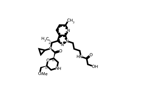 COC[C@@H]1CNC[C@H](C(=O)N(C2CC2)[C@H](C)c2nn(CCCNC(=O)CO)c3nc(C)ccc23)O1